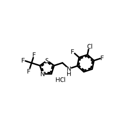 Cl.Fc1ccc(NCc2cnc(C(F)(F)F)s2)c(F)c1Cl